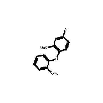 COc1ccccc1Oc1ccc(Br)cc1OC